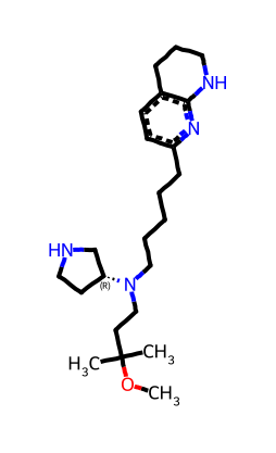 COC(C)(C)CCN(CCCCCc1ccc2c(n1)NCCC2)[C@@H]1CCNC1